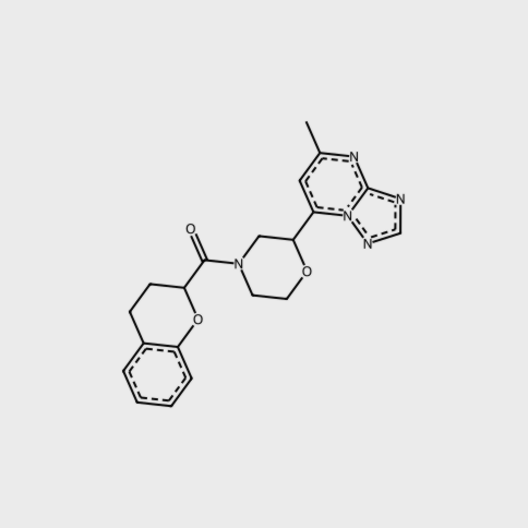 Cc1cc(C2CN(C(=O)C3CCc4ccccc4O3)CCO2)n2ncnc2n1